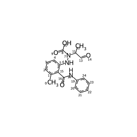 Cc1cccc(NN(C(=O)O)C(C)C=O)c1C(=O)Nc1ccccc1